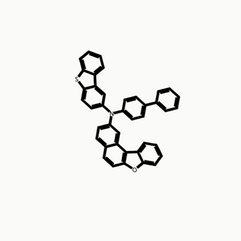 c1ccc(-c2ccc(N(c3ccc4sc5ccccc5c4c3)c3ccc4ccc5oc6ccccc6c5c4c3)cc2)cc1